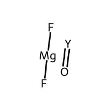 [F][Mg][F].[O]=[Y]